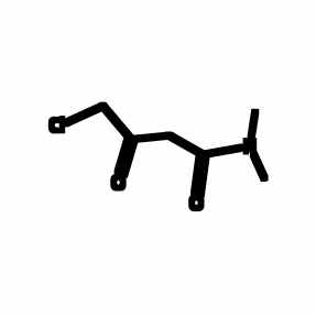 CN(C)C(=O)CC(=O)CCl